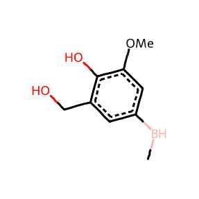 CBc1cc(CO)c(O)c(OC)c1